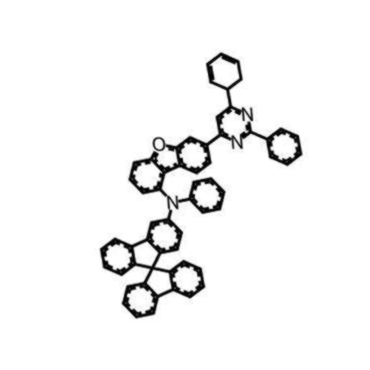 C1=CCC(c2cc(-c3ccc4c(c3)oc3cccc(N(c5ccccc5)c5ccc6c(c5)-c5ccccc5C65c6ccccc6-c6ccccc65)c34)nc(-c3ccccc3)n2)C=C1